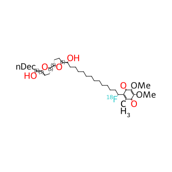 CCCCCCCCCC[C@H](O)[C@@H]1CC[C@@H]([C@@H]2CC[C@@H](C(O)CCCCCCCCCCCCC([18F])C3=C(C)C(=O)C(OC)=C(OC)C3=O)O2)O1